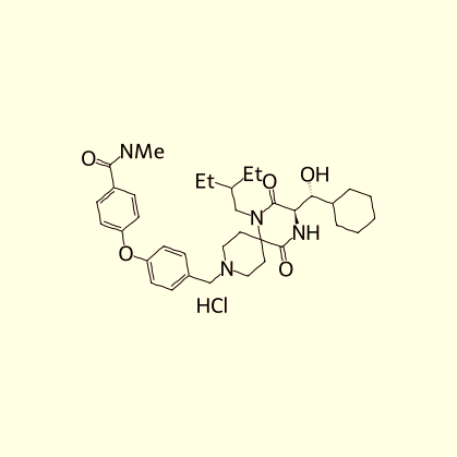 CCC(CC)CN1C(=O)[C@@H]([C@H](O)C2CCCCC2)NC(=O)C12CCN(Cc1ccc(Oc3ccc(C(=O)NC)cc3)cc1)CC2.Cl